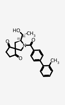 Cc1ccccc1-c1ccc(C(=O)N2CC3(C[C@H]2[C@@H](C)O)C(=O)CCC3=O)cc1